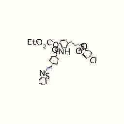 CCOC(=O)COc1ccc(CCCS(=O)(=O)c2ccc(Cl)cc2)cc1NC(=O)c1ccc(/C=C/c2nc3ccccc3s2)cc1